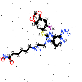 Nc1nccc2c1nc(Sc1cc3c(cc1I)OCO3)n2CCNCCCCCC(=O)NO